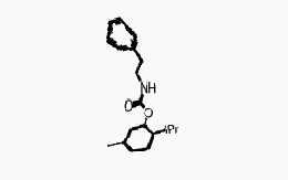 CC(C)C1CC[C@@H](C)C[C@H]1OC(=O)NCCc1ccccc1